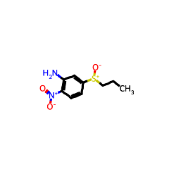 CCC[S+]([O-])c1ccc([N+](=O)[O-])c(N)c1